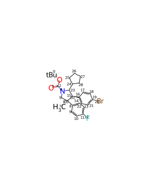 CC(C)(C)OC(=O)N1C[C@](C)(c2ccc(F)cc2)[C@H](c2ccc(Br)cc2)C1C1CCCC1